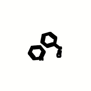 O=Pc1ccccc1.c1ccncc1